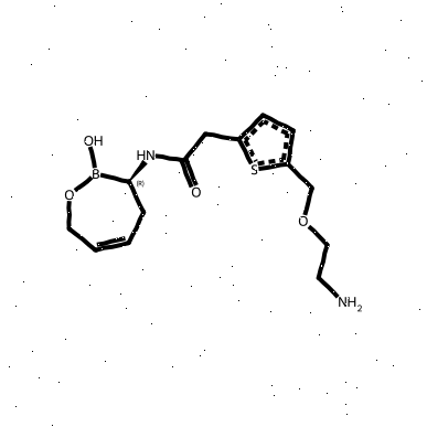 NCCOCc1ccc(CC(=O)N[C@H]2CC=CCOB2O)s1